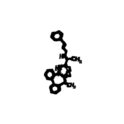 CC1C(=O)N(NC(=O)[C@H](C)NC/C=C/c2ccccc2)c2ccccc2-c2ccccc21